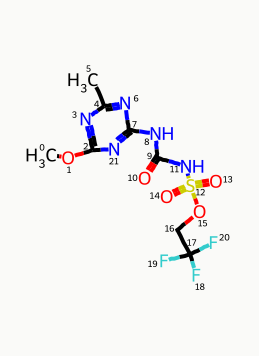 COc1nc(C)nc(NC(=O)NS(=O)(=O)OCC(F)(F)F)n1